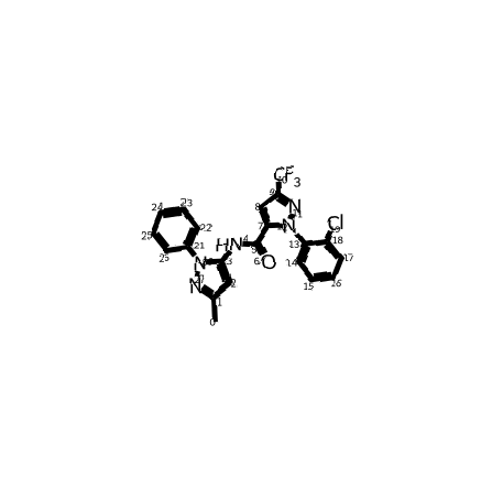 Cc1cc(NC(=O)c2cc(C(F)(F)F)nn2-c2ccccc2Cl)n(-c2ccccc2)n1